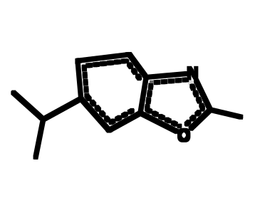 Cc1nc2ccc(C(C)C)cc2o1